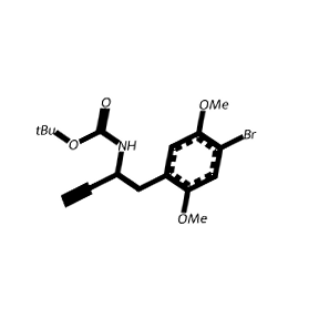 C#CC(Cc1cc(OC)c(Br)cc1OC)NC(=O)OC(C)(C)C